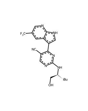 CC[C@@H](C)[C@@H](CO)Nc1ncc(C#N)c(-c2c[nH]c3ncc(C(F)(F)F)cc23)n1